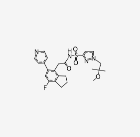 COC(C)(C)Cn1ccc(S(=O)(=O)NC(=O)Cc2c(-c3ccncc3)cc(F)c3c2CCC3)n1